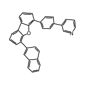 c1cncc(-c2ccc(-c3cccc4c3oc3c(-c5ccc6ccccc6c5)cccc34)cc2)c1